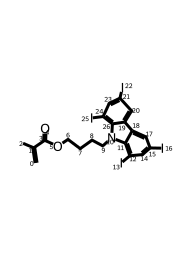 C=C(C)C(=O)OCCCCn1c2c(I)cc(I)cc2c2cc(I)cc(I)c21